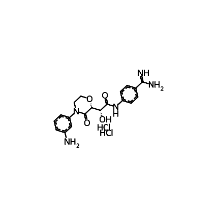 Cl.Cl.N=C(N)c1ccc(NC(=O)[C@H](O)[C@H]2OCCN(c3cccc(N)c3)C2=O)cc1